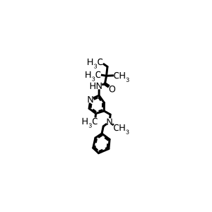 CCC(C)(C)C(=O)Nc1cc(CN(C)Cc2ccccc2)c(C)cn1